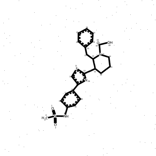 CS(=O)(=O)Nc1ccc(-c2csc(C3CCCN(C(=O)O)C3Cc3ccccc3)n2)cc1